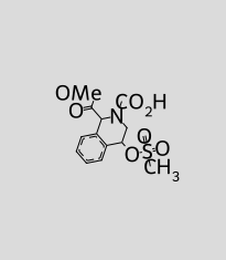 COC(=O)C1c2ccccc2C(OS(C)(=O)=O)CN1C(=O)O